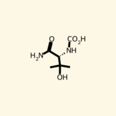 CC(C)(O)[C@@H](NC(=O)O)C(N)=O